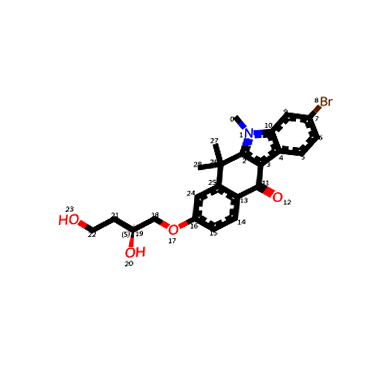 Cn1c2c(c3ccc(Br)cc31)C(=O)c1ccc(OC[C@@H](O)CCO)cc1C2(C)C